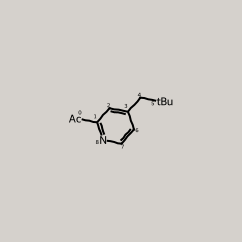 CC(=O)c1cc(CC(C)(C)C)ccn1